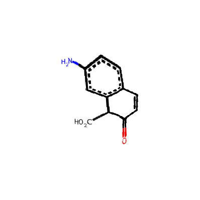 Nc1ccc2c(c1)C(C(=O)O)C(=O)C=C2